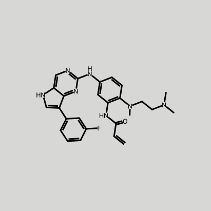 C=CC(=O)Nc1cc(Nc2ncc3[nH]cc(-c4cccc(F)c4)c3n2)ccc1N(C)CCN(C)C